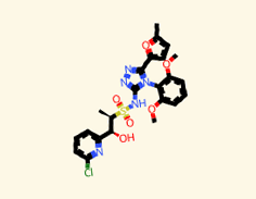 COc1cccc(OC)c1-n1c(NS(=O)(=O)[C@H](C)[C@@H](O)c2cccc(Cl)n2)nnc1-c1ccc(C)o1